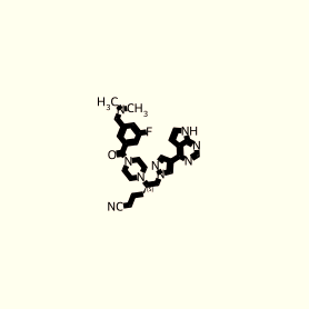 CN(C)Cc1cc(F)cc(C(=O)N2CCN([C@@H](CCCC#N)Cn3cc(-c4ncnc5[nH]ccc45)cn3)CC2)c1